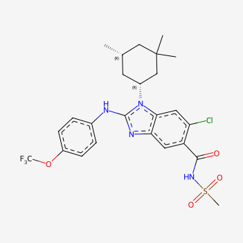 C[C@H]1C[C@@H](n2c(Nc3ccc(OC(F)(F)F)cc3)nc3cc(C(=O)NS(C)(=O)=O)c(Cl)cc32)CC(C)(C)C1